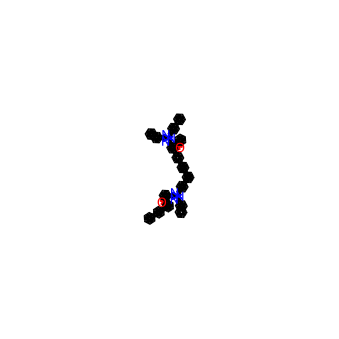 C1=Cc2cc(-c3nc(-c4ccc(-c5cccc(-c6ccc(C7=CC=C(c8ccc(-c9nc(-c%10ccc(-c%11ccccc%11)cc%10)nc(-c%10ccc%11ccccc%11c%10)n9)c9c8oc8ccccc89)CC7)cc6)c5)cc4)nc(-c4cccc5oc6c(-c7ccc(-c8ccccc8)cc7)cccc6c45)n3)ccc2CC1